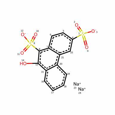 O=S(=O)([O-])c1ccc2c(S(=O)(=O)[O-])c(O)c3ccccc3c2c1.[Na+].[Na+]